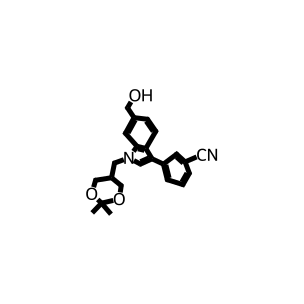 CC1(C)OCC(Cn2cc(-c3cccc(C#N)c3)c3ccc(CO)cc32)CO1